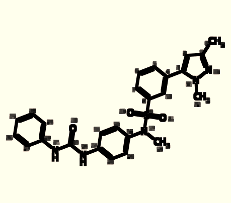 Cc1cc(-c2cccc(S(=O)(=O)N(C)c3ccc(NC(=O)Nc4ccccc4)cc3)c2)n(C)n1